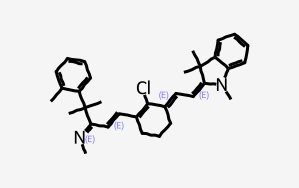 C/N=C(\C=C\C1=C(Cl)C(=C/C=C2/N(C)c3ccccc3C2(C)C)/CCC1)C(C)(C)c1ccccc1C